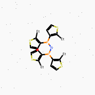 CCc1sccc1P([N]P(c1ccsc1CC)c1ccsc1CC)c1ccsc1CC